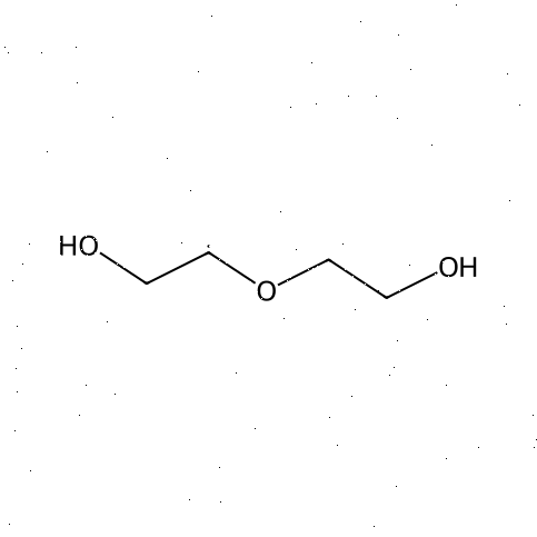 OC[CH]OCCO